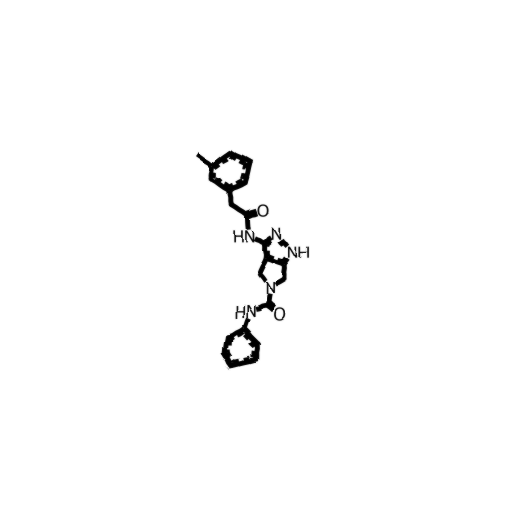 Cc1cccc(CC(=O)Nc2n[nH]c3c2CN(C(=O)Nc2ccccc2)C3)c1